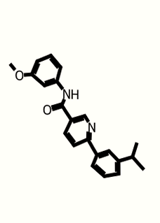 COc1cccc(NC(=O)c2ccc(-c3cccc(C(C)C)c3)nc2)c1